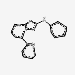 c1ccc(Nc2nc3cccc(-c4ccccn4)n3n2)cc1